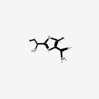 CCC(N)c1nc(C(N)=O)c(C)o1